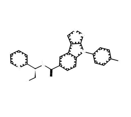 O=C(N[C@@H](CO)c1ccccn1)c1ccc2c(c1)c1csnc1n2-c1ccc(C(F)(F)F)cc1